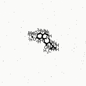 [2H]c1c(OC([2H])([2H])[2H])c(OC)c([2H])c2c1C1([2H])CC(=O)C(C([2H])([2H])C([2H])(C([2H])([2H])[2H])C([2H])([2H])C)CN1C([2H])([2H])C2([2H])[2H]